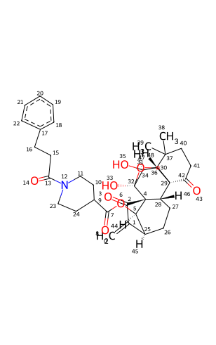 C=C1C(=O)[C@]23[C@H](OC(=O)C4CCN(C(=O)CCc5ccccc5)CC4)[C@H]1CC[C@H]2[C@@]12CO[C@@]3(O)[C@@H](O)[C@@H]1C(C)(C)CCC2=O